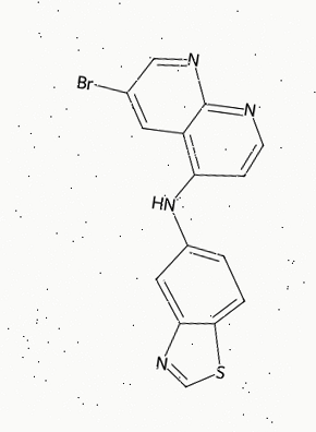 Brc1cnc2nccc(Nc3ccc4scnc4c3)c2c1